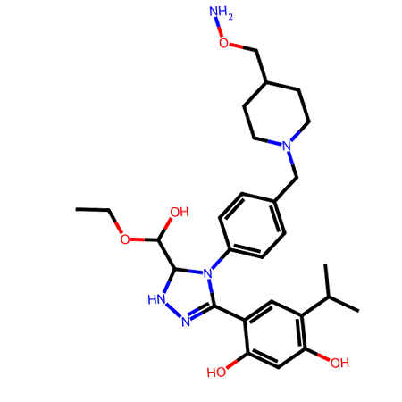 CCOC(O)C1NN=C(c2cc(C(C)C)c(O)cc2O)N1c1ccc(CN2CCC(CON)CC2)cc1